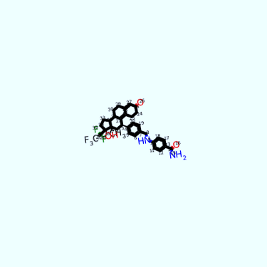 C[C@]12C[C@H](c3ccc(CNc4ccc(C(N)=O)cc4)cc3)C3=C4CCC(=O)C=C4CCC3C1CC[C@]2(O)C(F)(F)C(F)(F)F